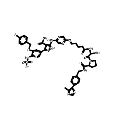 CCS(=O)(=O)Nc1ccc(-c2n[nH]c(Nc3cnc(OCCCCC(=O)NC(C(=O)N4CCCC4C(=O)NCc4ccc(-c5scnc5C)cc4)C(C)(C)C)cn3)c2C(N)=O)cc1OCc1ccc(F)cc1